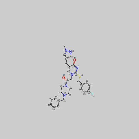 Cn1cc(Cc2cn(CC(=O)N3CCN(Cc4ccccc4)CC3)c(SCc3ccc(F)cc3)nc2=O)cn1